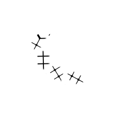 O=C(OC(F)(F)F)C(F)(OC(F)(F)C(F)(OC(F)(F)C(F)(OC(F)(F)C(F)(F)C(F)(F)F)C(F)(F)F)C(F)(F)F)C(F)(F)F